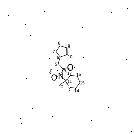 CON(C(=O)CC1CCCC1)C1(C)CCCCC1